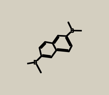 CB(C)c1ccc2cc(B(C)C)ccc2c1